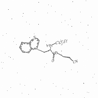 CCOC(=O)NC(Cc1csc2ccccc12)C(=O)NCCC#N